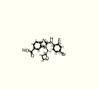 O=C(O)c1ccc2nc(Nc3ccc(Br)cc3F)n(C[C@@H]3CCO3)c2c1